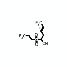 N#CC(C/C=C/C(F)(F)F)S(=O)(=O)CCC(F)(F)F